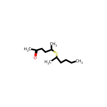 CCCCC(C)SC(C)CCC(C)=O